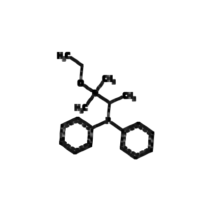 CCO[Si](C)(C)C(C)P(c1ccccc1)c1ccccc1